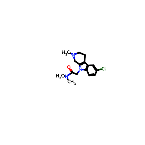 CN1CCc2c(n(CC(=O)N(C)C)c3ccc(Cl)cc23)C1